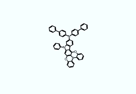 c1ccc(-c2ccc(N(c3ccc(-c4ccccc4)cc3)c3ccc4c5c6c7c(cc5n(-c5ccccc5)c4c3)Oc3ccccc3B7c3ccccc3O6)cc2)cc1